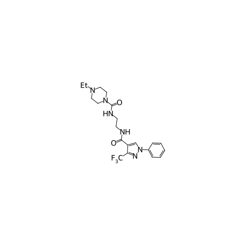 CCN1CCN(C(=O)NCCNC(=O)c2cn(-c3ccccc3)nc2C(F)(F)F)CC1